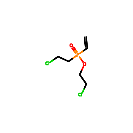 C=CP(=O)(CCCl)OCCCl